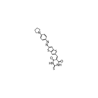 O=C1NC(=S)NC(=O)C1=Cc1cc2sc(/N=N/c3ccc(N4CCCC4)cc3)cc2s1